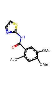 COc1cc(OC(C)=O)c(C(=O)Nc2nccs2)cc1OC